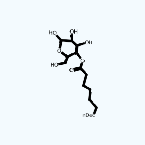 CCCCCCCCCCCCCCCC(=O)OC1C(CO)OC(O)C(O)C1O